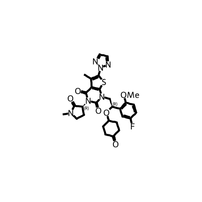 COc1ccc(F)cc1[C@H](Cn1c(=O)n([C@@H]2CCN(C)C2=O)c(=O)c2c(C)c(-n3nccn3)sc21)OC1CCC(=O)CC1